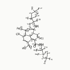 O=C(O)c1cc(Cl)c(C(=O)O)c2c(C(=O)NC(F)(F)C(F)(F)CC(F)(F)F)cc(Cl)c(C(=O)NC(F)(F)C(F)(F)CC(F)(F)F)c12